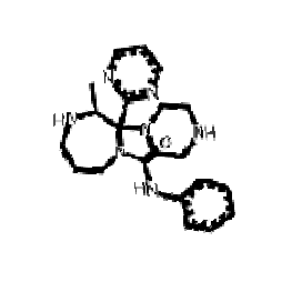 CC1NCCCN(C(=O)Nc2ccccc2)C1(c1ncccn1)N1CCNCC1